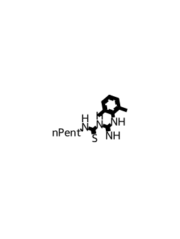 CCCCCNC(=S)NC(=N)Nc1c(C)cccc1C